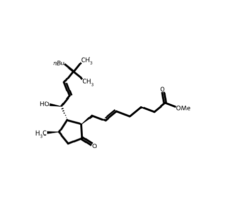 CCCCC(C)(C)C=C[C@H](O)[C@H]1[C@H](C)CC(=O)[C@@H]1CC=CCCCC(=O)OC